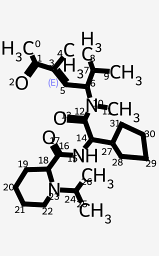 CC(=O)/C(C)=C/C(C(C)C)N(C)C(=O)C(NC(=O)C1CCCCN1C(C)C)C1CCCC1